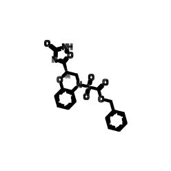 O=C(OCc1ccccc1)S(=O)(=O)N1C[C@H](c2nc(=O)[nH]o2)Oc2ccccc21